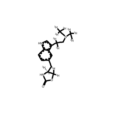 [2H]C([2H])(CN(C([2H])([2H])[2H])C([2H])([2H])[2H])c1c[nH]c2ccc(C[C@]3([2H])NC(=O)OC3([2H])[2H])cc12